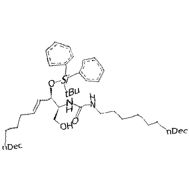 CCCCCCCCCCCCC/C=C/[C@@H](O[Si](c1ccccc1)(c1ccccc1)C(C)(C)C)[C@H](CO)NC(=O)NCCCCCCCCCCCCCCCC